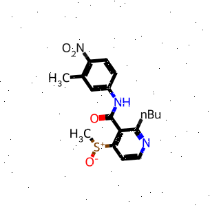 CCCCc1nccc([S+](C)[O-])c1C(=O)Nc1ccc([N+](=O)[O-])c(C)c1